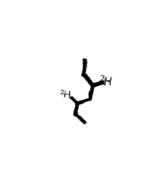 [2H]C(CC)CC([2H])CC